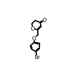 O=C1C=C(COc2ccc(Br)cc2)OCC1